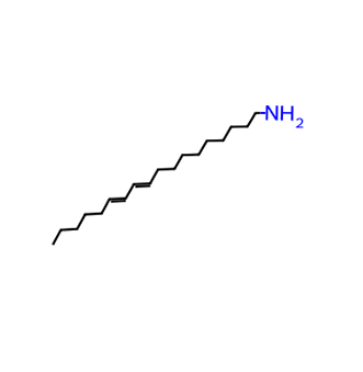 CCCCC/C=C/C=C/CCCCCCCCCN